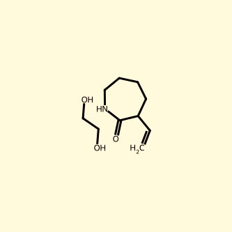 C=CC1CCCCNC1=O.OCCO